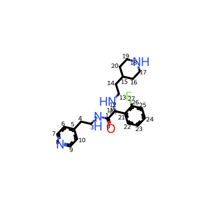 O=C(NCCc1ccncc1)[C@@H](NCCC1CCNCC1)c1ccccc1F